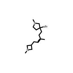 CCCC1(CC/C(C)=C\CC2CN(C)C2)CCN(C)C1